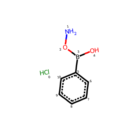 Cl.NOB(O)c1ccccc1